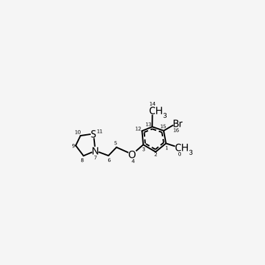 Cc1cc(OCCN2CCCS2)cc(C)c1Br